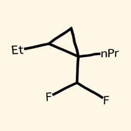 CCCC1(C(F)F)CC1CC